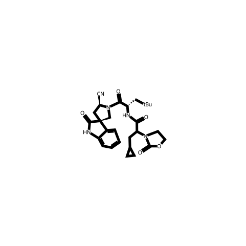 CC(C)(C)C[C@H](NC(=O)C(CC1CC1)N1CCOC1=O)C(=O)N1C[C@]2(C[C@H]1C#N)C(=O)Nc1ccccc12